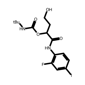 CC(C)(C)NC(=O)OC(CCO)C(=O)Nc1ccc(I)cc1F